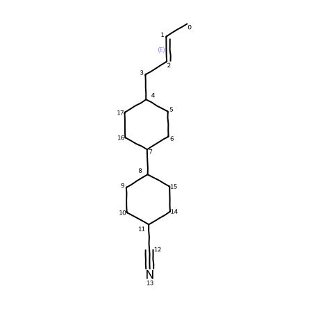 C/C=C/CC1CCC(C2CCC(C#N)CC2)CC1